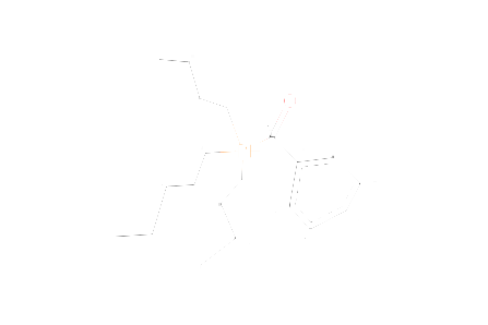 CCCCC[PH](CCCC)(CCCC)C(=O)c1ccccc1